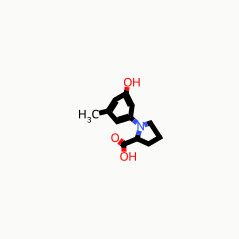 Cc1cc(O)cc(N2CCCC2C(=O)O)c1